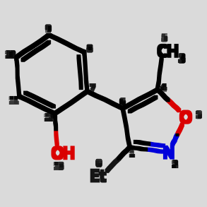 CCc1noc(C)c1-c1ccccc1O